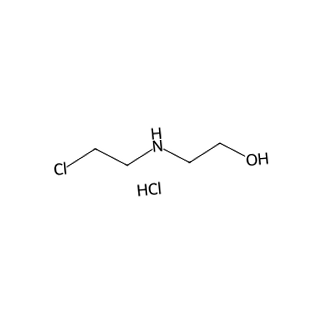 Cl.OCCNCCCl